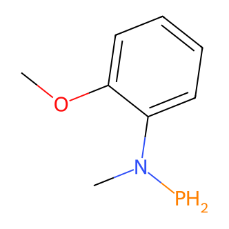 COc1ccccc1N(C)P